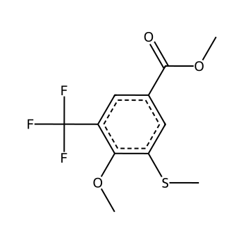 COC(=O)c1cc(SC)c(OC)c(C(F)(F)F)c1